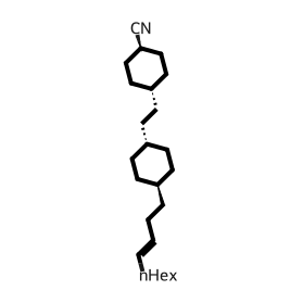 CCCCCC/C=C/CC[C@H]1CC[C@H](CC[C@H]2CC[C@H](C#N)CC2)CC1